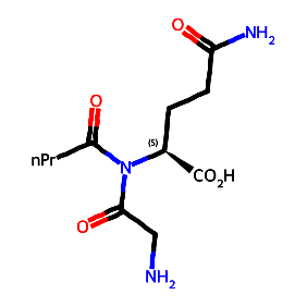 CCCC(=O)N(C(=O)CN)[C@@H](CCC(N)=O)C(=O)O